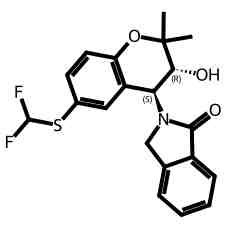 CC1(C)Oc2ccc(SC(F)F)cc2[C@H](N2Cc3ccccc3C2=O)[C@H]1O